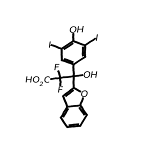 O=C(O)C(F)(F)C(O)(c1cc(I)c(O)c(I)c1)c1cc2ccccc2o1